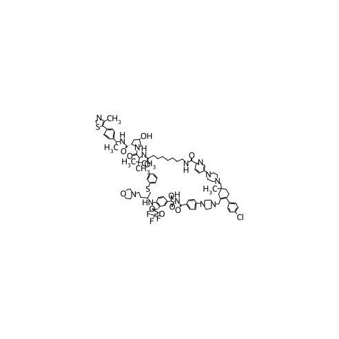 Cc1ncsc1-c1ccc([C@H](C)NC(=O)[C@@H]2C[C@@H](O)CN2C(=O)C(NC(=O)CCCCCCCNC(=O)c2ccc(N3CCN(CC4(C)CCC(c5ccc(Cl)cc5)=C(CN5CCN(c6ccc(C(=O)NS(=O)(=O)c7ccc(NC(CCN8CCOCC8)CSc8ccccc8)c(S(=O)(=O)C(F)(F)F)c7)cc6)CC5)C4)CC3)cn2)C(C)(C)C)cc1